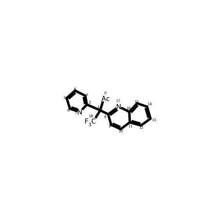 CC(=O)C(c1ccccn1)(c1ccc2ccccc2n1)C(F)(F)F